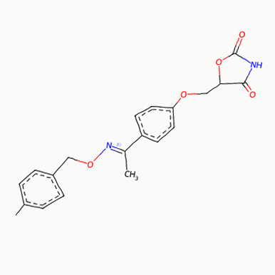 C/C(=N\OCc1ccc(C)cc1)c1ccc(OCC2OC(=O)NC2=O)cc1